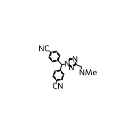 CNCc1ncn(C(c2ccc(C#N)cc2)c2ccc(C#N)cc2)n1